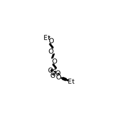 CCC#COOS(=O)(=O)CCOCCOCCOCC